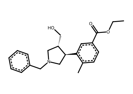 CCOC(=O)c1ccc(C)c([C@H]2CN(Cc3ccccc3)C[C@@H]2CO)c1